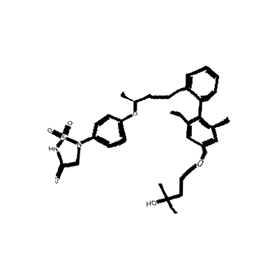 Cc1cc(OCCC(C)(C)O)cc(C)c1-c1ccccc1CC[C@H](C)Oc1ccc(N2CC(=O)NS2(=O)=O)cc1